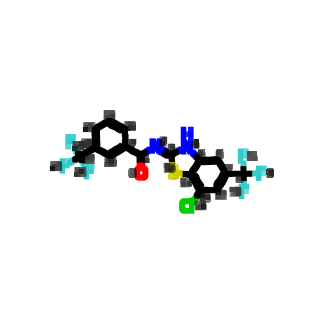 O=C(/N=c1/[nH]c2cc(C(F)(F)F)cc(Cl)c2s1)c1cccc(C(F)(F)F)c1